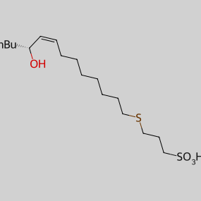 CCCC[C@@H](O)/C=C\CCCCCCCSCCCS(=O)(=O)O